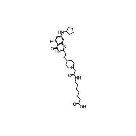 O=C(O)CCCCCCNC(=O)CN1CCC(SCc2nc3cc(NC4CCCC4)cc(F)c3c(=O)[nH]2)CC1